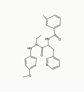 CCN(Nc1ccc(OC)cc1)C(=O)C(Cc1cccnc1)NC(=O)c1cccc(C)c1